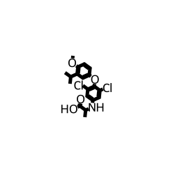 COc1ccc(Oc2c(Cl)cc(NC(C)C(=O)O)cc2Cl)cc1C(C)C